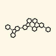 c1ccc(-c2ccc3c4ccccc4c4c(-n5c6ccccc6c6cc(-c7ccc8c(c7)c7ccccc7n8-c7ccccc7)ccc65)cccc4c3c2)cc1